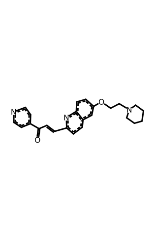 O=C(C=Cc1ccc2cc(OCCN3CCCCC3)ccc2n1)c1ccncc1